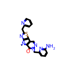 Cn1c2nc(Cc3ccccn3)sc2c2cnn(Cc3cccc(N)n3)c(=O)c21